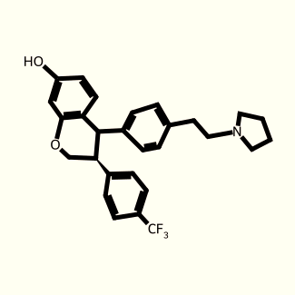 Oc1ccc2c(c1)OC[C@H](c1ccc(C(F)(F)F)cc1)C2c1ccc(CCN2CCCC2)cc1